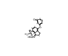 CCCC/N=C1/CCc2c(Oc3cncc(Cl)c3)ccc(S(C)(=O)=O)c21